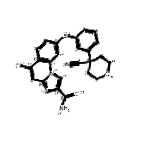 N#CC1(c2cccc(Sc3ccc4c(Cl)cc5nc(C(N)=O)cn5c4c3)c2)CCOCC1